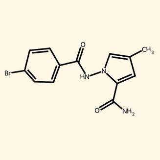 Cc1cc(C(N)=O)n(NC(=O)c2ccc(Br)cc2)c1